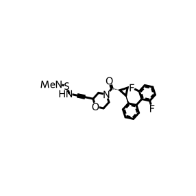 CNSNC#CC1CN(C(=O)[C@@H]2C[C@H]2c2ccccc2-c2c(F)cccc2F)CCO1